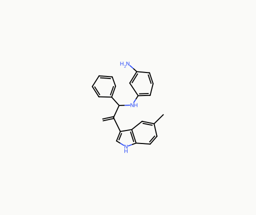 C=C(c1c[nH]c2ccc(C)cc12)C(Nc1cccc(N)c1)c1ccccc1